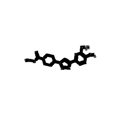 CC(C)(C)OC(=O)N1CCC(n2cc(-c3cnc(N)c(C(=O)O)n3)nn2)CC1